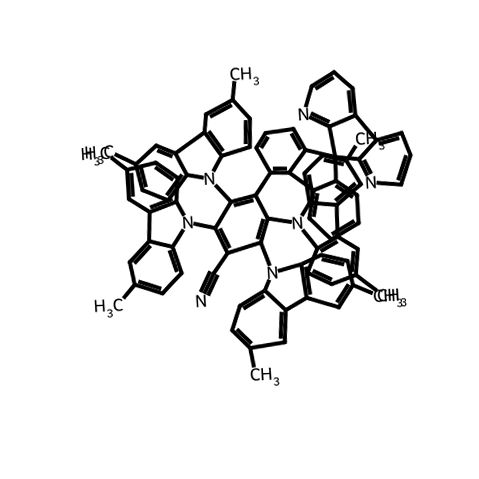 Cc1ccc2c(c1)c1cc(C)ccc1n2-c1c(C#N)c(-n2c3ccc(C)cc3c3cc(C)ccc32)c(-n2c3ccc(C)cc3c3cc(C)ccc32)c(-c2cccc3c2-c2ccccc2C32c3ncccc3-c3cccnc32)c1-n1c2ccc(C)cc2c2cc(C)ccc21